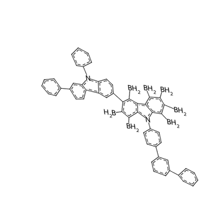 Bc1c(B)c(B)c2c(c1B)c1c(B)c(-c3ccc4c(c3)c3ccc(-c5ccccc5)cc3n4-c3ccccc3)c(B)c(B)c1n2-c1ccc(-c2cccc(-c3ccccc3)c2)cc1